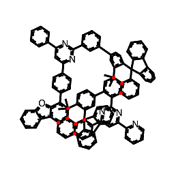 CC1(C)c2ccccc2C2(c3ccccc3-c3ccccc32)c2ccc(-c3cccc(-c4nc(-c5ccccc5)cc(-c5ccc(-c6cc(-c7cccc(-c8cc(-c9ccccn9)nc(-c9ccccc9-c9ccc%10c(c9)C9(c%11ccccc%11-c%11ccccc%119)c9ccccc9C%10(C)C)n8)c7)cc7c6oc6ccccc67)cc5)n4)c3)cc21